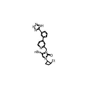 CCCCc1cn(C2CCC2CC)c(=O)n1Cc1cc(-c2cccc(-c3nnn[nH]3)c2)ccn1